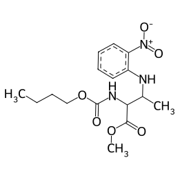 CCCCOC(=O)NC(C(=O)OC)C(C)Nc1ccccc1[N+](=O)[O-]